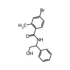 Cc1cc(Br)ccc1C(=O)NC(CO)c1ccccc1